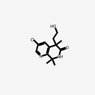 CC1(C)NC(=O)C(C)(CCO)c2cc(Cl)cnc21